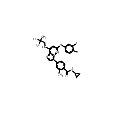 Cc1cc(-c2cnc3c(NCC(C)(C)O)cc(Oc4ccc(F)c(F)c4)nn23)ccc1C(=O)NC1CC1